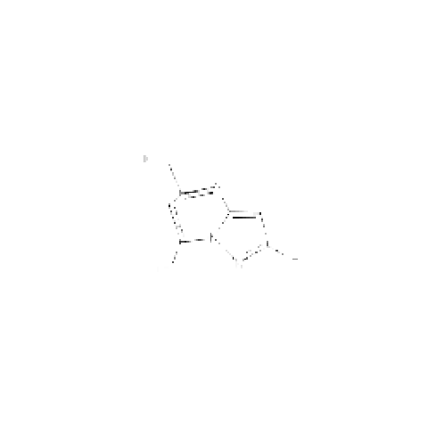 Cc1cc2nc(C(=O)O)cc(S)n2n1